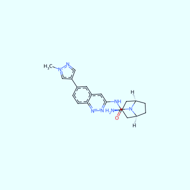 Cn1cc(-c2ccc3nnc(NC(=O)N4[C@@H]5CC[C@H]4C[C@@H](N)C5)cc3c2)cn1